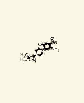 CC(C)(C)OC(=O)N1CCN(c2cc(N)c([N+](=O)[O-])cc2Cl)CC1